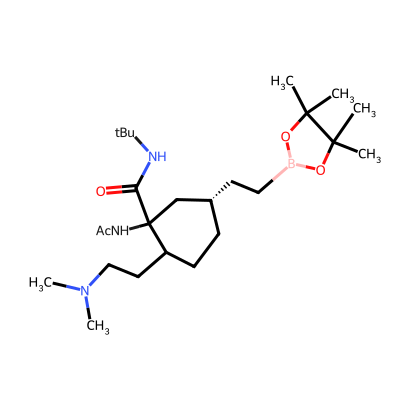 CC(=O)NC1(C(=O)NC(C)(C)C)C[C@H](CCB2OC(C)(C)C(C)(C)O2)CCC1CCN(C)C